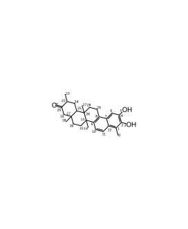 Cc1c(O)c(O)cc2c3c(ccc12)C1(C)CCC2(C)CC(=O)C(C)CC2C1(C)CC3